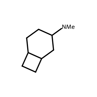 CNC1CCC2CCC2C1